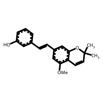 COc1cc(/C=C/c2cccc(O)c2)cc2c1C=CC(C)(C)O2